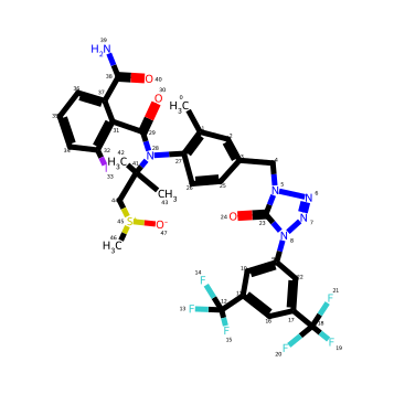 Cc1cc(Cn2nnn(-c3cc(C(F)(F)F)cc(C(F)(F)F)c3)c2=O)ccc1N(C(=O)c1c(I)cccc1C(N)=O)C(C)(C)C[S+](C)[O-]